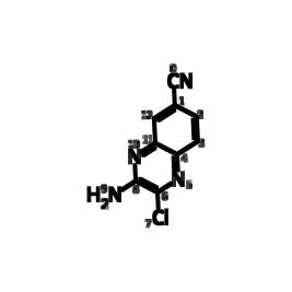 N#Cc1ccc2nc(Cl)c(N)nc2c1